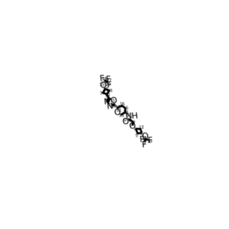 O=C(COC1CC(OC(F)(F)F)C1)N[C@@H]1CC[C@@H](c2nnc(C3CC(OC(F)(F)F)C3)o2)OC1